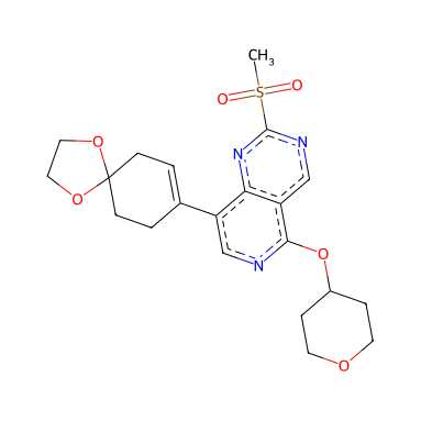 CS(=O)(=O)c1ncc2c(OC3CCOCC3)ncc(C3=CCC4(CC3)OCCO4)c2n1